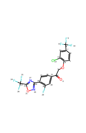 O=C(COc1ccc(C(F)(F)F)cc1Cl)c1ccc(-c2noc(C(F)(F)F)n2)c(F)c1